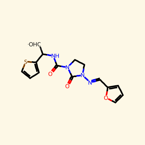 O=[C]C(NC(=O)N1CCN(N=Cc2ccco2)C1=O)c1cccs1